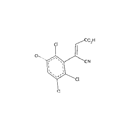 N#CC(=CC(=O)O)c1c(Cl)c(Cl)cc(Cl)c1Cl